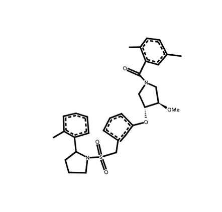 CO[C@@H]1CN(C(=O)c2cc(C)ccc2C)C[C@H]1Oc1cccc(CS(=O)(=O)N2CCCC2c2ccccc2C)c1